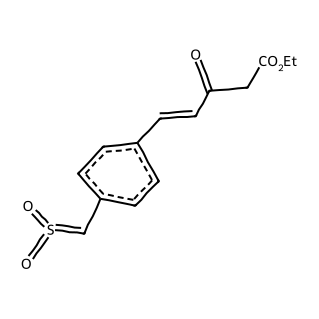 CCOC(=O)CC(=O)C=Cc1ccc(C=S(=O)=O)cc1